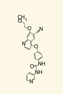 COCCOc1cc2nccc(Oc3ccc(NC(=O)Nc4cccnc4)cc3)c2cc1C#N